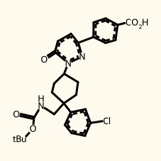 CC(C)(C)OC(=O)NCC1(c2cccc(Cl)c2)CCC(n2nc(-c3ccc(C(=O)O)cc3)ccc2=O)CC1